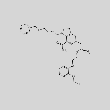 C[C@H](Cc1cc2c(c(C(N)=O)c1)N(CCCCOCc1ccccc1)CC2)NCCOc1ccccc1OCC(F)(F)F